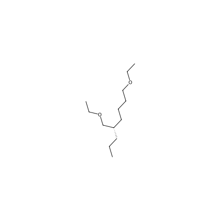 CCC[C@@H](CCCCOCC)COCC